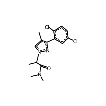 Cc1cn(C(C)C(=O)N(C)C)nc1-c1cc(Cl)ccc1Cl